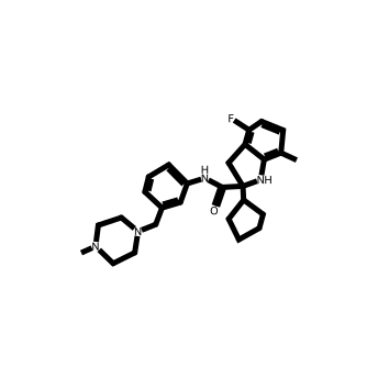 Cc1ccc(F)c2c1NC(C(=O)Nc1cccc(CN3CCN(C)CC3)c1)(C1CCCC1)C2